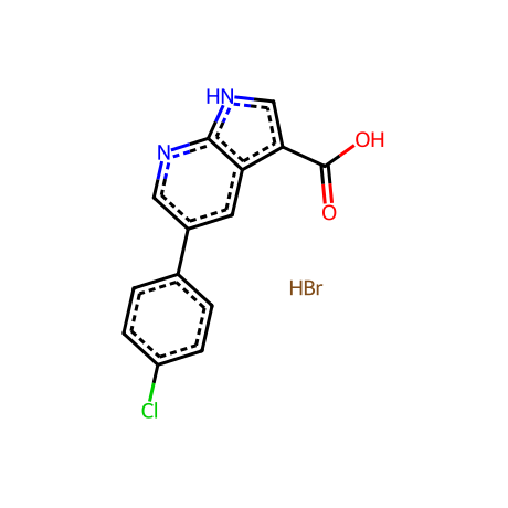 Br.O=C(O)c1c[nH]c2ncc(-c3ccc(Cl)cc3)cc12